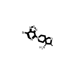 C[C@@H]1OCC2(CCN(c3ncc(Br)c4nsnc34)CC2)[C@@H]1N